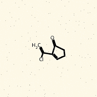 C=C(Cl)C1=CCCC1=O